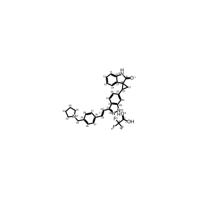 O=C(O)C(F)(F)F.O=C1Nc2ccccc2C12CC2c1ccc2c(/C=C/c3ccc(CN4CCCC4)cc3)n[nH]c2c1